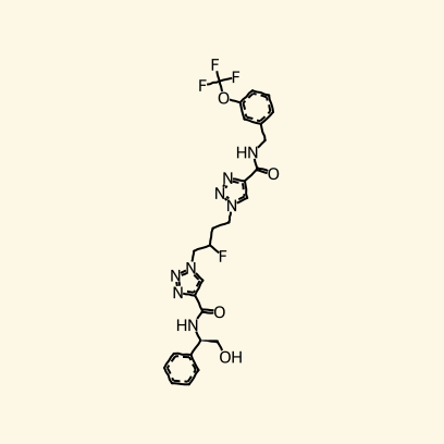 O=C(NCc1cccc(OC(F)(F)F)c1)c1cn(CCC(F)Cn2cc(C(=O)N[C@@H](CO)c3ccccc3)nn2)nn1